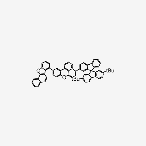 CC(C)(C)c1ccc2c(c1)C1(c3ccccc3-c3ccc(-c4ccc5c6c(cccc46)-c4cc(-c6cccc7oc8c9ccccc9ccc8c67)ccc4O5)cc31)c1cc(C(C)(C)C)ccc1-2